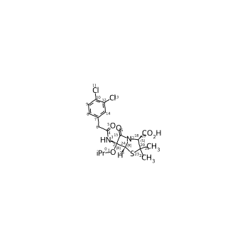 CC(C)O[C@]1(NC(=O)Cc2ccc(Cl)c(Cl)c2)C(=O)N2[C@@H](C(=O)O)C(C)(C)S[C@@H]21